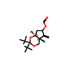 C=C1C(OC=O)C[C@@H]2O[Si](C(C)(C)C)(C(C)(C)C)OC[C@@H]12